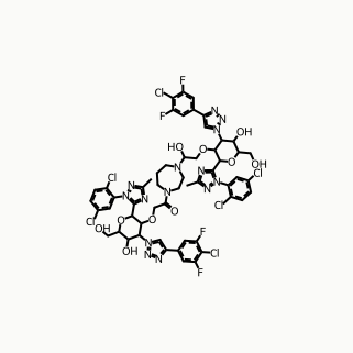 Cc1nc(C2OC(CO)C(O)C(n3cc(-c4cc(F)c(Cl)c(F)c4)nn3)C2OCC(=O)N2CCCN(C(O)COC3C(c4nc(C)nn4-c4cc(Cl)ccc4Cl)OC(CO)C(O)C3n3cc(-c4cc(F)c(Cl)c(F)c4)nn3)CC2)n(-c2cc(Cl)ccc2Cl)n1